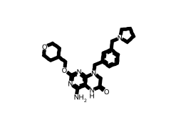 Nc1nc(OCC2CCOCC2)nc2c1NC(=O)CN2Cc1cccc(CN2CCCC2)c1